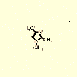 Cc1cn([SiH3])c(C)n1